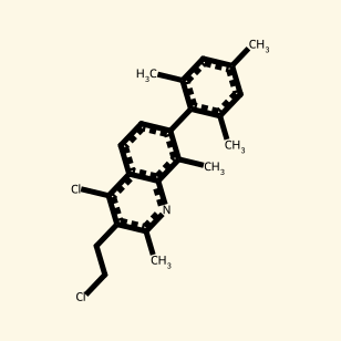 Cc1cc(C)c(-c2ccc3c(Cl)c(CCCl)c(C)nc3c2C)c(C)c1